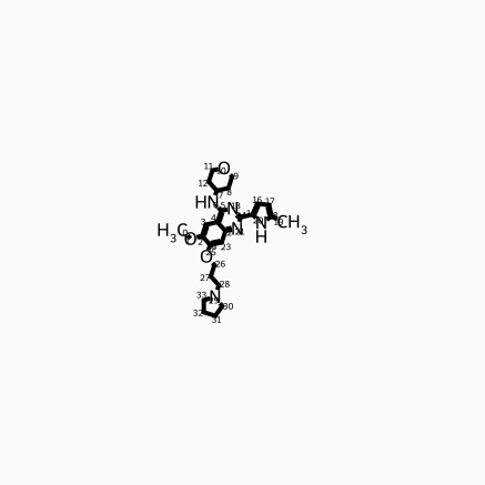 COc1cc2c(NC3CCOCC3)nc(-c3ccc(C)[nH]3)nc2cc1OCCCN1CCCC1